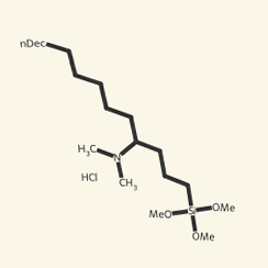 CCCCCCCCCCCCCCCC(CCC[Si](OC)(OC)OC)N(C)C.Cl